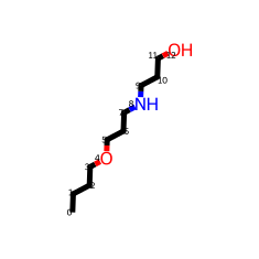 CCCCOCCCNCCCO